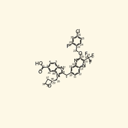 O=C(O)c1ccc2nc(Cc3ccc4nc(C(F)(F)F)c(OCc5ccc(Cl)cc5F)nc4c3)n(C[C@@H]3CCO3)c2c1